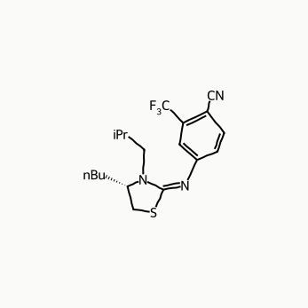 CCCC[C@H]1CSC(=Nc2ccc(C#N)c(C(F)(F)F)c2)N1CC(C)C